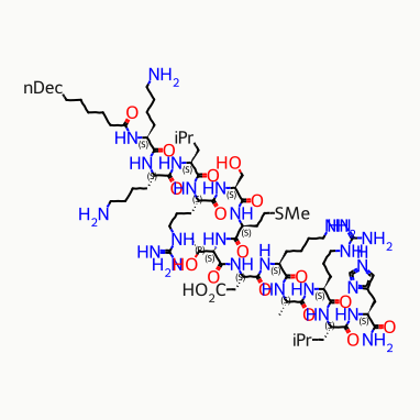 CCCCCCCCCCCCCCCC(=O)N[C@@H](CCCCN)C(=O)N[C@@H](CCCCN)C(=O)N[C@@H](CC(C)C)C(=O)N[C@@H](CCCNC(=N)N)C(=O)N[C@@H](CO)C(=O)N[C@@H](CCSC)C(=O)N[C@H](C(=O)N[C@@H](CC(=O)O)C(=O)N[C@@H](CCCCN)C(=O)N[C@@H](C)C(=O)N[C@@H](CCCNC(=N)N)C(=O)N[C@@H](CC(C)C)C(=O)N[C@@H](Cc1c[nH]cn1)C(N)=O)[C@@H](C)O